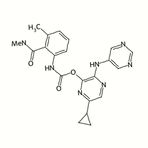 CNC(=O)c1c(C)cccc1NC(=O)Oc1nc(C2CC2)cnc1Nc1cncnc1